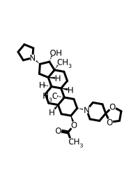 CC(=O)O[C@H]1C[C@@H]2CC[C@@H]3[C@H](CC[C@]4(C)[C@@H](O)[C@@H](N5CCCC5)C[C@@H]34)[C@@]2(C)C[C@@H]1N1CCC2(CC1)OCCO2